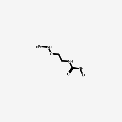 CCCNOCCNC(=O)NCC